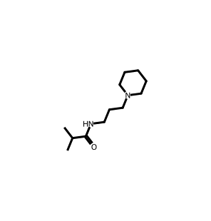 CC(C)C(=O)NCCCN1CCCCC1